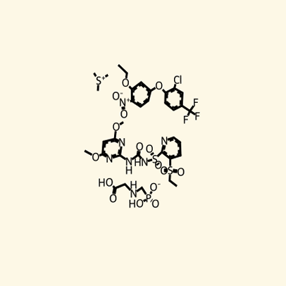 CCOc1cc(Oc2ccc(C(F)(F)F)cc2Cl)ccc1[N+](=O)[O-].CCS(=O)(=O)c1cccnc1S(=O)(=O)NC(=O)Nc1nc(OC)cc(OC)n1.C[S+](C)C.O=C(O)CNCP(=O)([O-])O